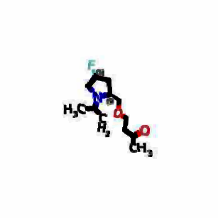 CC(=O)CCOC[C@@H]1C[C@H](F)CN1C(C)C